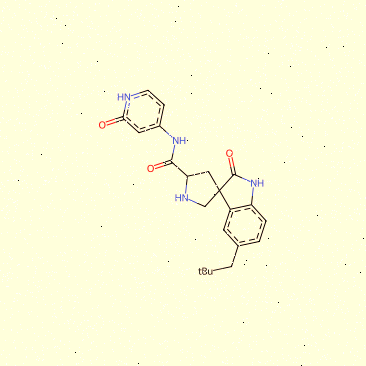 CC(C)(C)Cc1ccc2c(c1)C1(CNC(C(=O)Nc3cc[nH]c(=O)c3)C1)C(=O)N2